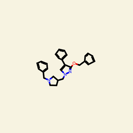 c1ccc(COc2nn(CC3CCN(Cc4ccccc4)C3)cc2-c2ccccc2)cc1